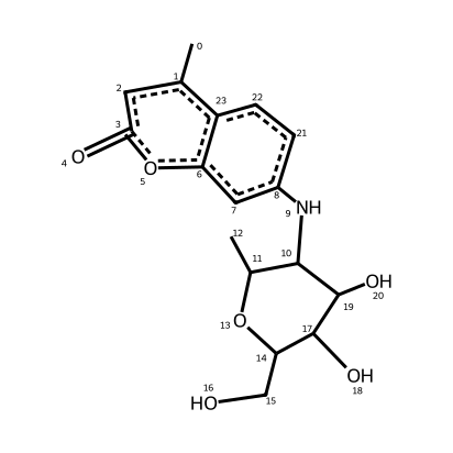 Cc1cc(=O)oc2cc(NC3C(C)OC(CO)C(O)C3O)ccc12